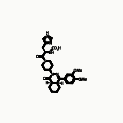 COc1ccc(C2=NN(C3CCN(C(=O)[C@@H](Cc4c[nH]cn4)NC(=O)O)CC3)C(=O)[C@@H]3CCCC[C@H]23)cc1OC